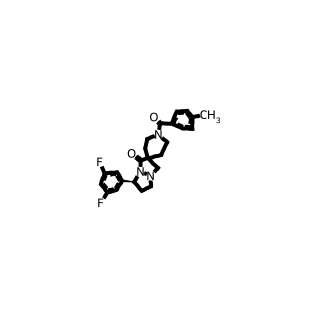 Cc1ccc(C(=O)N2CCC3(CC2)CN2CC[C@@H](c4cc(F)cc(F)c4)N2C3=O)cc1